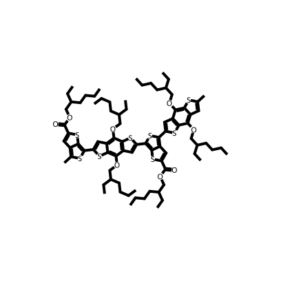 CCCCC(CC)COC(=O)c1cc2c(C)sc(-c3cc4c(OCC(CC)CCCC)c5sc(-c6sc(-c7cc8c(OCC(CC)CCCC)c9sc(C)cc9c(OCC(CC)CCCC)c8s7)c7cc(C(=O)OCC(CC)CCCC)sc67)cc5c(OCC(CC)CCCC)c4s3)c2s1